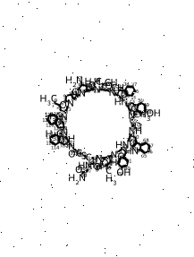 CCCC[C@H]1C(=O)N2CCC[C@@H]2C(=O)N2C[C@H](N)C[C@H]2C(=O)N[C@@H](C(C)C)C(=O)N(C)[C@@H](Cc2ccccc2)C(=O)N[C@@H](Cc2ccc(O)cc2)C(=O)N(C)CC(=O)N[C@@H](Cc2c[nH]c3ccccc23)C(=O)N[C@@H](Cc2ccc(O)cc2)C(=O)N[C@@H](CC(C)C)C(=O)N[C@H](C(=O)NCC(N)=O)CSCC(=O)N[C@@H](Cc2ccccc2)C(=O)N(C)[C@@H](Cc2ccccc2)C(=O)N1C